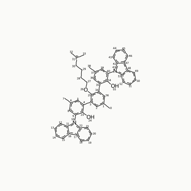 Cc1cc(-c2cc(C)cc(-n3c4ccccc4c4ccccc43)c2O)c(OCCCCP(C)C)c(-c2cc(C)cc(-n3c4ccccc4c4ccccc43)c2O)c1